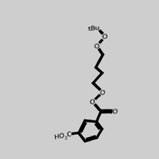 CC(C)(C)OOCCCCOOC(=O)c1cccc(C(=O)O)c1